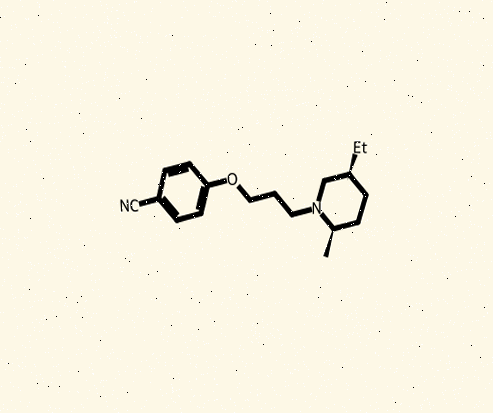 CC[C@H]1CC[C@@H](C)N(CCCOc2ccc(C#N)cc2)C1